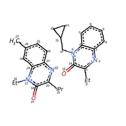 CCc1nc2ccccc2n(CC2CC2)c1=O.CCn1c(=O)c(C(C)C)nc2ccc(C)cc21